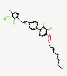 CCCCCCCCOc1ccc(-c2ccc(/C=C/c3ccc(C)c(F)c3F)cc2)c(F)c1F